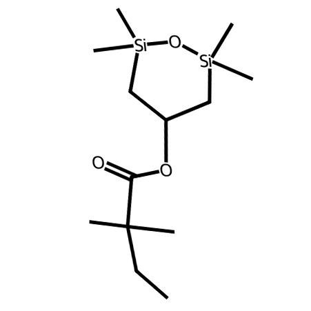 CCC(C)(C)C(=O)OC1C[Si](C)(C)O[Si](C)(C)C1